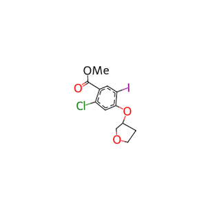 COC(=O)c1cc(I)c(OC2CCOC2)cc1Cl